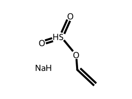 C=CO[SH](=O)=O.[NaH]